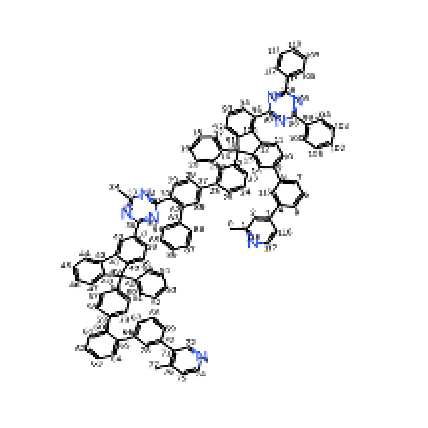 Cc1cc(-c2cccc(-c3ccc4c(c3)C(c3ccccc3)(c3cccc(-c5ccc(-c6nc(C)nc(-c7ccc8c(c7)-c7ccccc7C8(c7ccccc7)c7ccc(-c8ccccc8-c8cccc(-c9cnccc9C)c8)cc7)n6)c(-c6ccccc6)c5)c3)c3cccc(-c5nc(-c6ccccc6)nc(-c6ccccc6)n5)c3-4)c2)ccn1